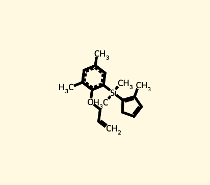 C=CCOc1c(C)cc(C)cc1[Si](C)(C)C1=C(C)C=CC1